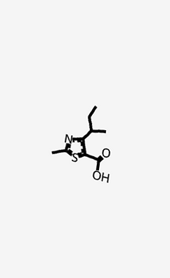 CCC(C)c1nc(C)sc1C(=O)O